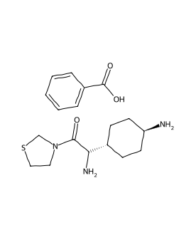 NC(C(=O)N1CCSC1)[C@H]1CC[C@H](N)CC1.O=C(O)c1ccccc1